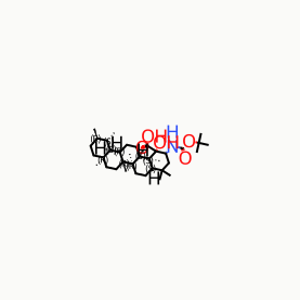 C[C@@H]1[C@H]2[C@H]3CC[C@@H]4[C@]5(C)[C@@H](CC[C@@]4(C)[C@]3(C)CC[C@@]2(C)CC[C@H]1C)C(C)(C)CC(NC(=O)OC(C)(C)C)C5(O)C(=O)O